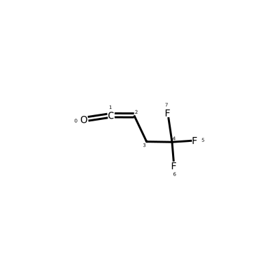 O=C=CCC(F)(F)F